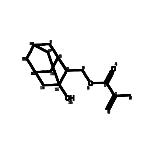 C=C(C)C(=O)OCC1C2CC3CC(C2)CC1(O)C3